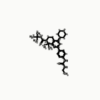 CCNC(=O)Nc1ccc(-c2nc(N3CCOCC3)c3c(n2)C(C)(C)N(C(=O)OC(C)(C)C)CC3)cc1